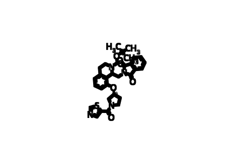 CC(C)(C)OC(=O)N1CCc2cccc(O[C@H]3CCN(C(=O)c4cncs4)C3)c2C1CN1C(=O)c2ccccc2C1=O